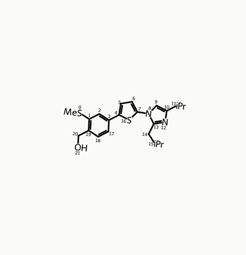 CSc1cc(-c2ccc(-n3cc(C(C)C)nc3CC(C)C)s2)ccc1CO